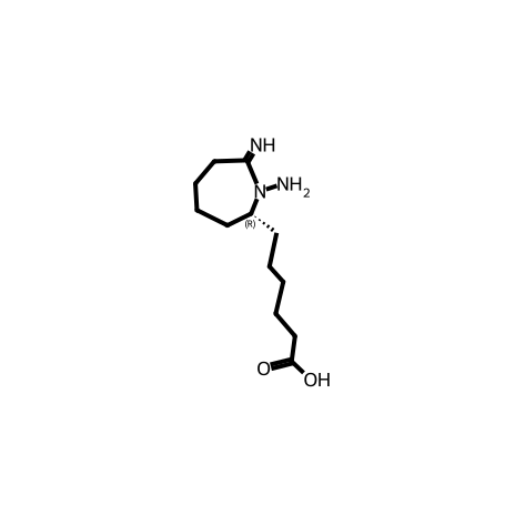 N=C1CCCC[C@@H](CCCCCC(=O)O)N1N